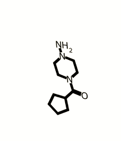 NN1CCN(C(=O)C2CCCC2)CC1